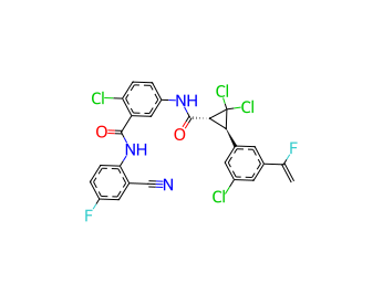 C=C(F)c1cc(Cl)cc([C@H]2[C@H](C(=O)Nc3ccc(Cl)c(C(=O)Nc4ccc(F)cc4C#N)c3)C2(Cl)Cl)c1